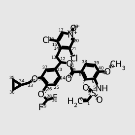 C=CS(=O)(=O)Nc1cc(C(=O)OC(Cc2c(Cl)c[n+]([O-])cc2Cl)c2ccc(OC(F)F)c(OCC3CC3)c2)ccc1OC